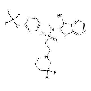 O=S(=O)(CCN1CCCC(F)(F)C1)N(Cc1ccc(OC(F)(F)F)cc1)c1sc2ccccc2c1Br